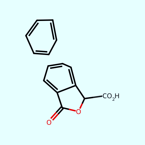 O=C1OC(C(=O)O)c2ccccc21.c1ccccc1